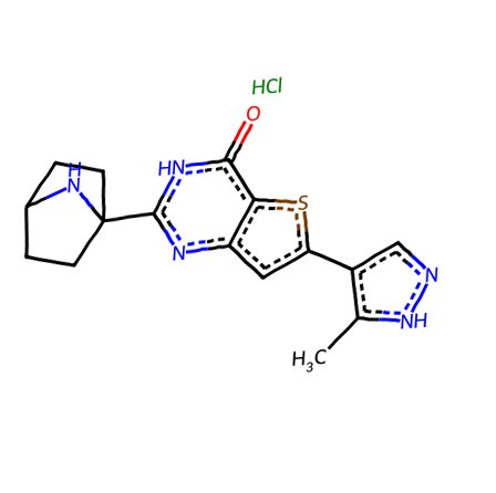 Cc1[nH]ncc1-c1cc2nc(C34CCC(CC3)N4)[nH]c(=O)c2s1.Cl